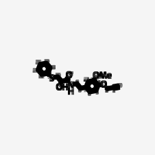 C#CCOc1ccc(CCNC(=O)C(O)CSc2ccccc2)cc1OC